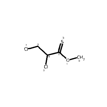 COC(=S)C(Cl)CCl